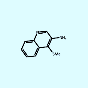 CSc1c(N)cnc2ccccc12